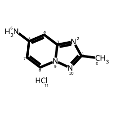 Cc1nc2cc(N)ccn2n1.Cl